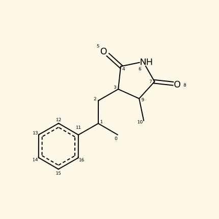 CC(CC1C(=O)NC(=O)C1C)c1ccccc1